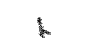 CC1(C)c2cc(-c3ccc(C45CC6CC(CC(C6)C4)C5)cc3)ccc2-c2ccc(N(c3ccc(-c4ccccc4)cc3)c3ccc4ccccc4c3)cc21